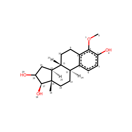 COc1c(O)ccc2c1CC[C@@H]1[C@@H]2CC[C@]2(C)[C@@H](O)C(O)C[C@@H]12